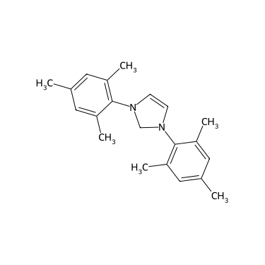 Cc1cc(C)c(N2C=CN(c3c(C)cc(C)cc3C)C2)c(C)c1